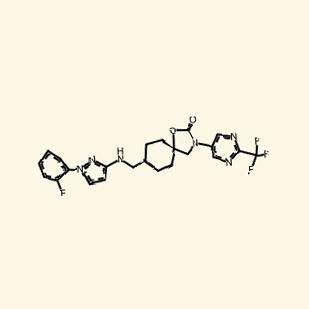 O=C1O[C@]2(CC[C@H](CNc3ccn(-c4ccccc4F)n3)CC2)CN1c1cnc(C(F)(F)F)nc1